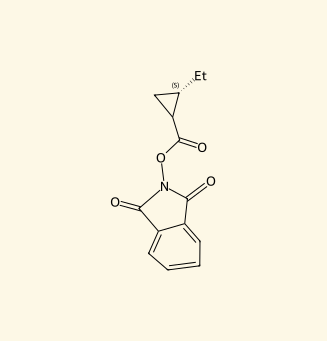 CC[C@H]1CC1C(=O)ON1C(=O)c2ccccc2C1=O